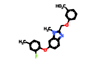 Cc1ccc(Oc2ccc3nc(COc4cccc(C(=O)O)c4)n(C)c3c2)c(F)c1